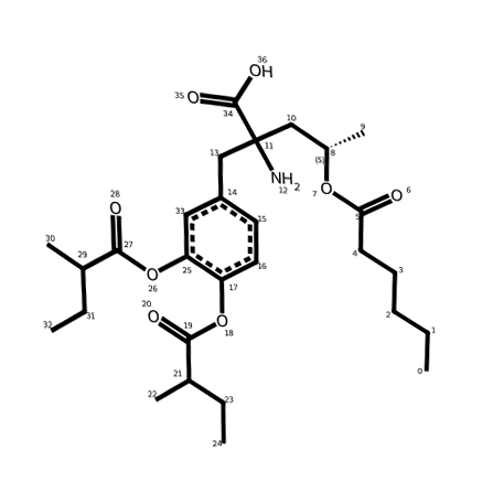 CCCCCC(=O)O[C@@H](C)CC(N)(Cc1ccc(OC(=O)C(C)CC)c(OC(=O)C(C)CC)c1)C(=O)O